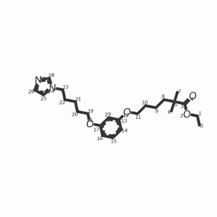 CCOC(=O)C(C)(C)CCCCOc1cccc(OCCCCCn2ccnc2)c1